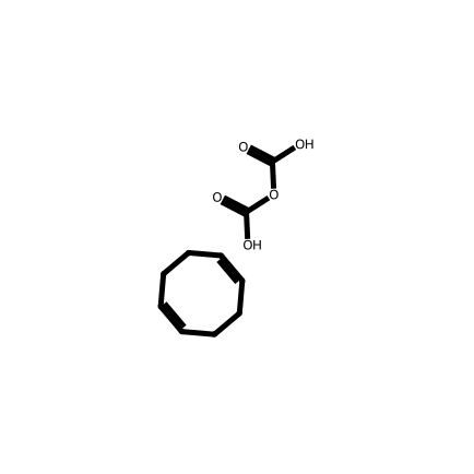 C1=CCCC=CCC1.O=C(O)OC(=O)O